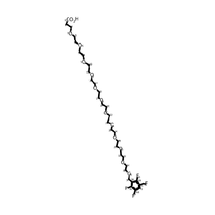 O=C(O)CCOCCOCCOCCOCCOCCOCCOCCOCCOCCOCCOCCOCc1c(F)c(F)cc(F)c1F